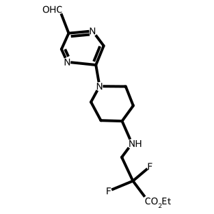 CCOC(=O)C(F)(F)CNC1CCN(c2cnc(C=O)cn2)CC1